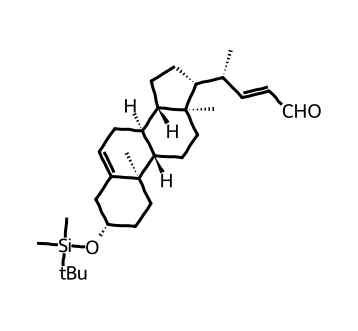 C[C@H](C=CC=O)[C@H]1CC[C@H]2[C@@H]3CC=C4C[C@@H](O[Si](C)(C)C(C)(C)C)CC[C@]4(C)[C@H]3CC[C@]12C